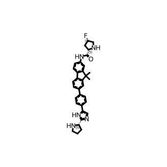 CC1(C)c2cc(NC(=O)[C@@H]3C[C@H](F)CN3)ccc2-c2ccc(-c3ccc(-c4cnc([C@@H]5CCCN5)[nH]4)cc3)cc21